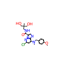 COc1ccc(CN(C)c2cc(Cl)nn3c(C(=O)NCC(C)(CO)CO)cnc23)cc1